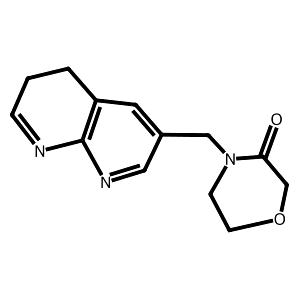 O=C1COCCN1Cc1cnc2c(c1)CCC=N2